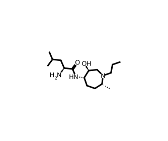 CCCN1C[C@H](O)[C@@H](NC(=O)[C@@H](N)CC(C)C)CC[C@H]1C